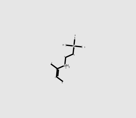 CC=C(C)[SiH2]CC[Si](I)(I)I